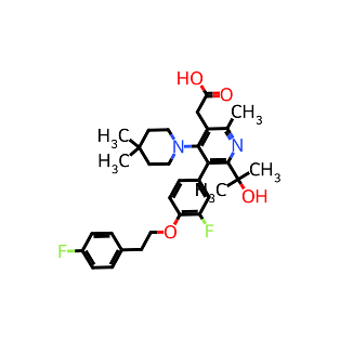 Cc1nc(C(C)(C)O)c(-c2ccc(OCCc3ccc(F)cc3)c(F)c2)c(N2CCC(C)(C)CC2)c1CC(=O)O